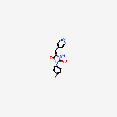 O=C1N/C(=C\c2ccncc2)C(=O)N1c1ccc(I)cc1